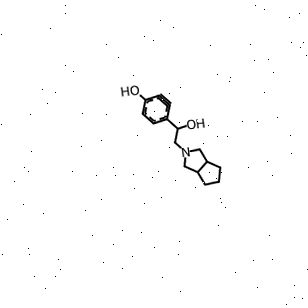 Oc1c#cc(C(O)CN2CC3CCCC3C2)cc1